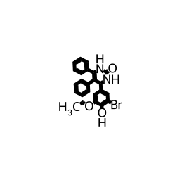 CCOc1cc(C2NC(=O)NC(c3ccccc3)=C2c2ccccc2)cc(Br)c1O